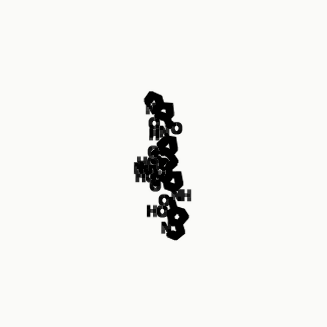 O=C(Nc1ccc(C=Cc2ccc(NC(=O)c3ccc4cccnc4c3O)cc2S(=O)(=O)O)c(S(=O)(=O)O)c1)c1ccc2cccnc2c1O.[Na].[Na]